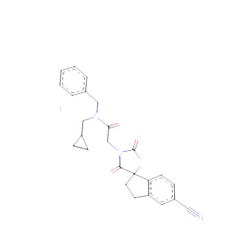 C[C@@H](C1CC1)N(Cc1ccccc1)C(=O)CN1C(=O)OC2(CCc3cc(C#N)ccc32)C1=O